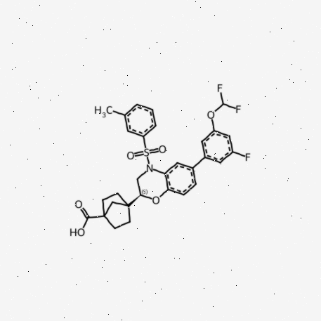 Cc1cccc(S(=O)(=O)N2C[C@H](C34CCC(C(=O)O)(CC3)C4)Oc3ccc(-c4cc(F)cc(OC(F)F)c4)cc32)c1